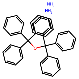 N.N.c1ccc(C(OC(c2ccccc2)(c2ccccc2)c2ccccc2)(c2ccccc2)c2ccccc2)cc1